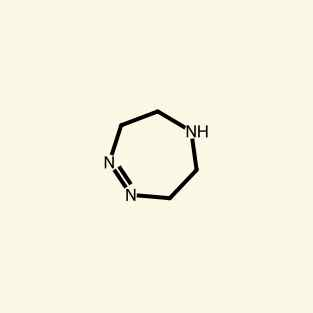 C1CNCCN=N1